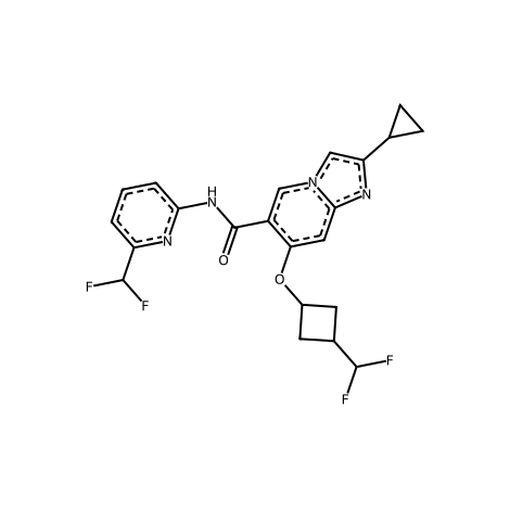 O=C(Nc1cccc(C(F)F)n1)c1cn2cc(C3CC3)nc2cc1OC1CC(C(F)F)C1